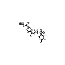 Cc1ccc(S(=O)(=O)OCC(C)CC(C)C2CCN(C(=O)OC(C)(C)C)CC2)cc1